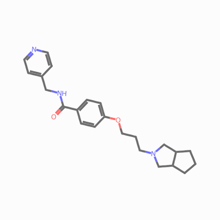 O=C(NCc1ccncc1)c1ccc(OCCCN2CC3CCCC3C2)cc1